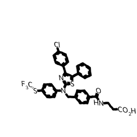 O=C(O)CCNC(=O)c1ccc(CN(c2ccc(SC(F)(F)F)cc2)c2nc(-c3ccc(Cl)cc3)c(-c3ccccc3)s2)cc1